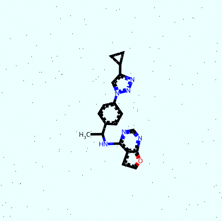 CC(Nc1ncnc2occc12)c1ccc(-n2cc(C3CC3)nn2)cc1